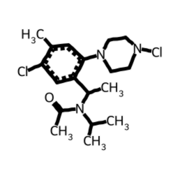 CC(=O)N(C(C)C)C(C)c1cc(Cl)c(C)cc1N1CCN(Cl)CC1